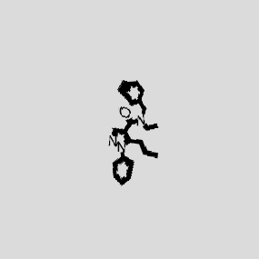 CCCc1c(C(=O)N(CC)Cc2ccccc2)cnn1-c1ccccc1